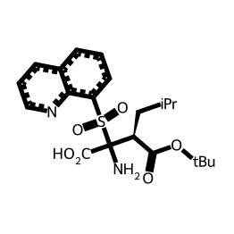 CC(C)C[C@@H](C(=O)OC(C)(C)C)C(N)(C(=O)O)S(=O)(=O)c1cccc2cccnc12